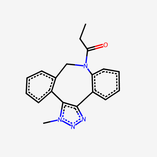 CCC(=O)N1Cc2ccccc2-c2c(nnn2C)-c2ccccc21